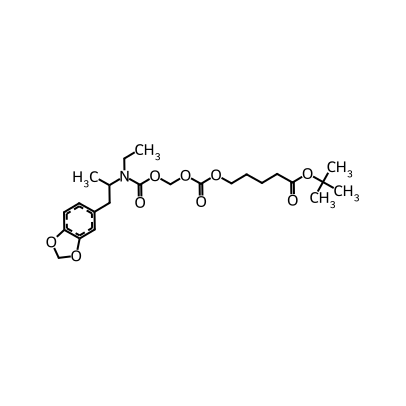 CCN(C(=O)OCOC(=O)OCCCCC(=O)OC(C)(C)C)C(C)Cc1ccc2c(c1)OCO2